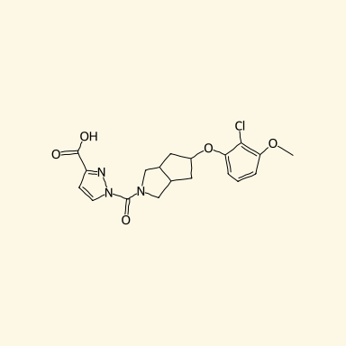 COc1cccc(OC2CC3CN(C(=O)n4ccc(C(=O)O)n4)CC3C2)c1Cl